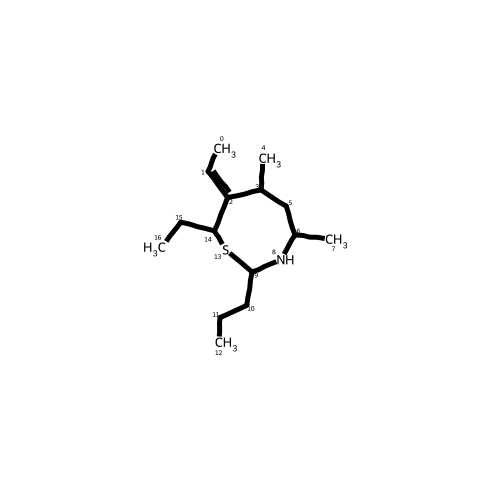 C/C=C1\C(C)CC(C)NC(CCC)SC1CC